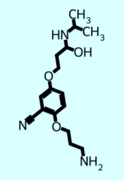 CC(C)NC(O)CCOc1ccc(OCCCN)c(C#N)c1